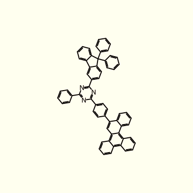 c1ccc(-c2nc(-c3ccc(-c4cc5c6ccccc6c6ccccc6c5c5ccccc45)cc3)nc(-c3ccc4c(c3)-c3ccccc3C4(c3ccccc3)c3ccccc3)n2)cc1